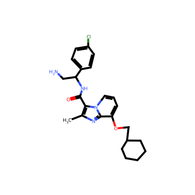 Cc1nc2c(OCC3CCCCC3)cccn2c1C(=O)NC(CN)c1ccc(Cl)cc1